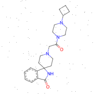 O=C1NC2(CCN(CC(=O)N3CCN(C4CCC4)CC3)CC2)c2ccccc21